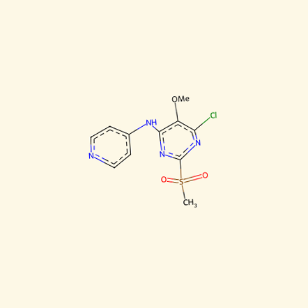 COc1c(Cl)nc(S(C)(=O)=O)nc1Nc1ccncc1